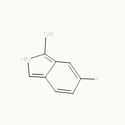 Nc1[nH]cc2ccc(F)cc12